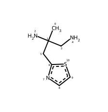 CC(N)(CN)Cc1nccs1